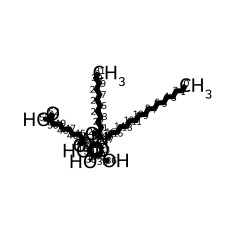 CCCCCCCCCCCCCCCCCCN(C(=O)CCCCCCCCCCC)[C@@H]1O[C@H](CO)[C@@H](O)[C@H](O)[C@H]1NC(=O)CCCCCCC(=O)O